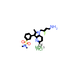 Cc1c(-c2cccc(S(=O)(=O)N(C)C)c2)c2nc(C(F)(F)F)ccc2n1CC(F)=CCN.Cl.Cl